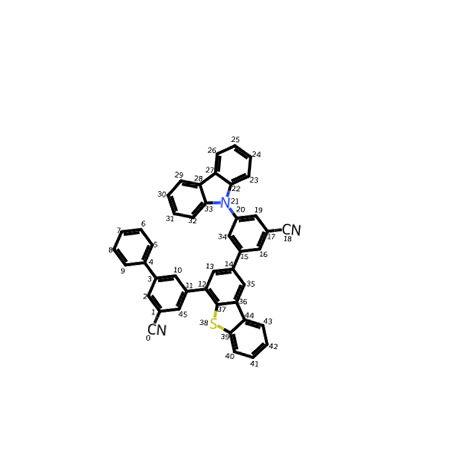 N#Cc1cc(-c2ccccc2)cc(-c2cc(-c3cc(C#N)cc(-n4c5ccccc5c5ccccc54)c3)cc3c2sc2ccccc23)c1